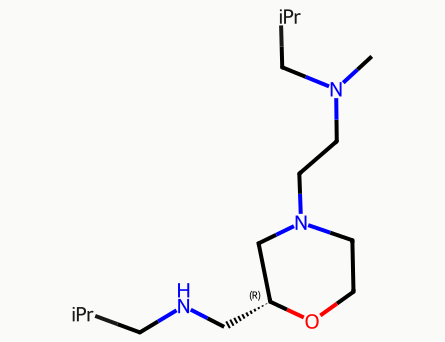 CC(C)CNC[C@@H]1CN(CCN(C)CC(C)C)CCO1